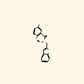 O=c1c2cc(Br)ccc2nnn1Cc1cc2ccccc2o1